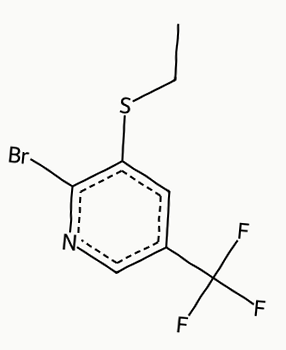 CCSc1cc(C(F)(F)F)cnc1Br